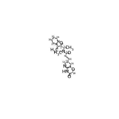 Cc1c(C(C)N(C)C(=O)/C=C/c2cnc3c(c2)OCC(=O)N3)oc2ccccc12